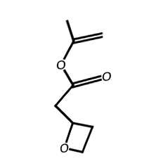 C=C(C)OC(=O)CC1CCO1